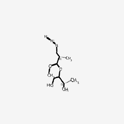 COC(OC(CO)[C@H](C)O)[C@@H](C)CN=[N+]=[N-]